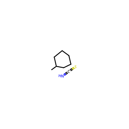 CC1CCCCC1.N=C=S